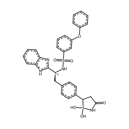 O=C1CC(c2ccc(C[C@H](NS(=O)(=O)c3cccc(Oc4ccccc4)c3)c3nc4ccccc4[nH]3)cc2)S(O)(O)N1